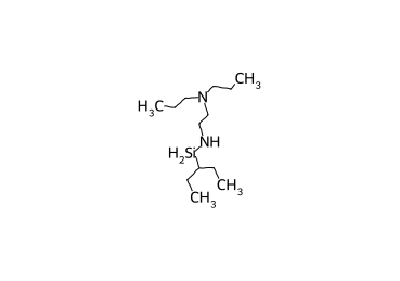 CCCN(CCC)CCN[SiH2]C(CC)CC